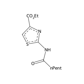 CCCCCC(=O)Nc1nc(C(=O)OCC)cs1